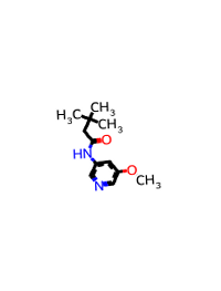 COc1cncc(NC(=O)CC(C)(C)C)c1